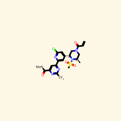 C=CC(=O)N1C[C@@H](C)N(S(C)(=O)=O)[C@H](c2cc(Cl)nc(-c3cc(C(=O)NC)nc(C(F)(F)F)n3)c2)C1